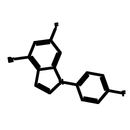 Fc1ccc(-n2ccc3c(Br)cc(F)cc32)cc1